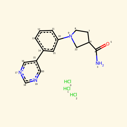 Cl.Cl.Cl.NC(=O)C1CCN(c2cccc(-c3cncnc3)c2)C1